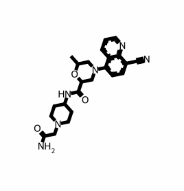 CC1CN(c2ccc(C#N)c3ncccc23)CC(C(=O)NC2CCN(CC(N)=O)CC2)O1